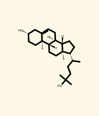 CC(CCC(C)(C)O)[C@H]1CC[C@H]2[C@@H]3CC=C4C[C@@H](O)CC[C@]4(C)[C@H]3CC[C@]12C